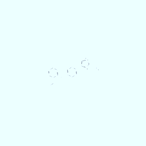 CN(C)Cc1ncc(-c2ccc(Oc3cc(F)cc(F)c3C=O)cc2)n1C